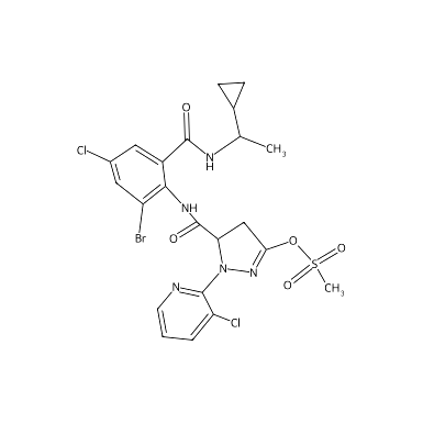 CC(NC(=O)c1cc(Cl)cc(Br)c1NC(=O)C1CC(OS(C)(=O)=O)=NN1c1ncccc1Cl)C1CC1